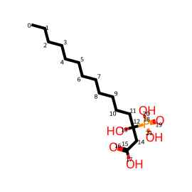 CCCCCCCCCCCCC(O)(CC(=O)O)P(=O)(O)O